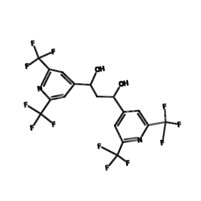 OC(CC(O)c1cc(C(F)(F)F)nc(C(F)(F)F)c1)c1cc(C(F)(F)F)nc(C(F)(F)F)c1